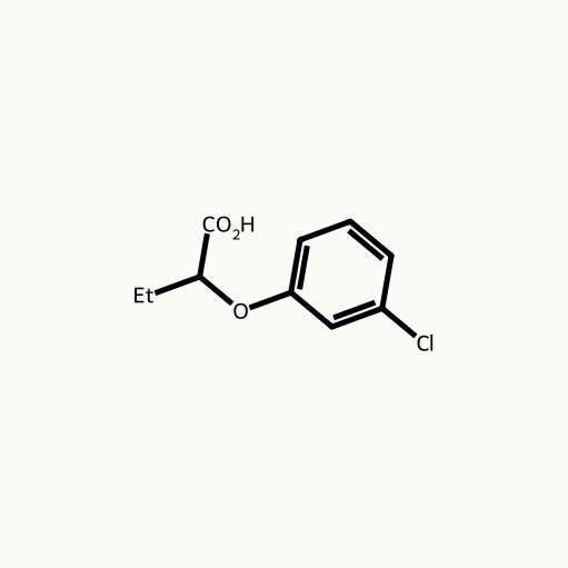 CCC(Oc1cccc(Cl)c1)C(=O)O